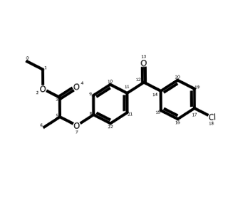 CCOC(=O)C(C)Oc1ccc(C(=O)c2ccc(Cl)cc2)cc1